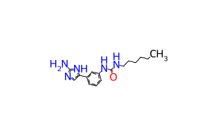 CCCCCCNC(=O)Nc1cccc(-c2cnc(N)[nH]2)c1